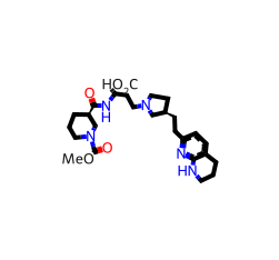 COC(=O)N1CCC[C@@H](C(=O)NC(CCN2CC[C@@H](CCc3ccc4c(n3)NCCC4)C2)C(=O)O)C1